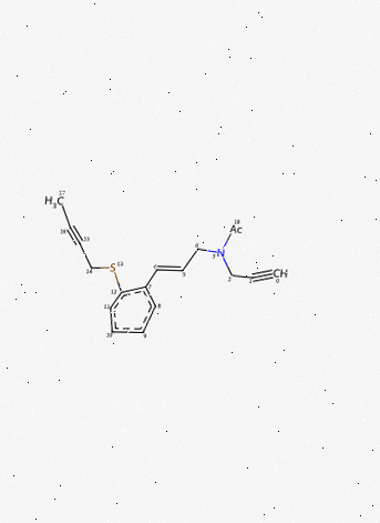 C#CCN(C/C=C/c1ccccc1SCC#CC)C(C)=O